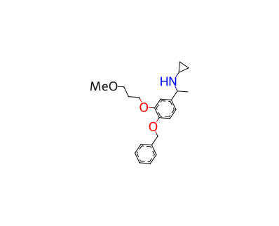 COCCCOc1cc(C(C)NC2CC2)ccc1OCc1ccccc1